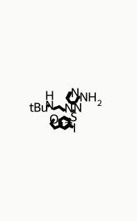 CC(C)(C)NCCCn1c(Sc2cc3c(cc2[131I])CCO3)nc2c(N)nccc21